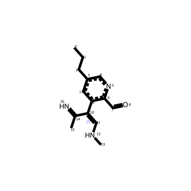 CCCc1cnc(C=O)c(/C(=C/NC)C(C)=N)c1